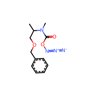 CC(COCc1ccccc1)N(C)C(=O)ON=[N+]=[N-]